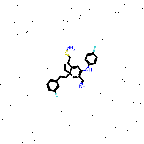 C=CC1(CCc2cccc(F)c2)CC(C=N)=C(Nc2ccc(F)cc2)C=C1CCSN